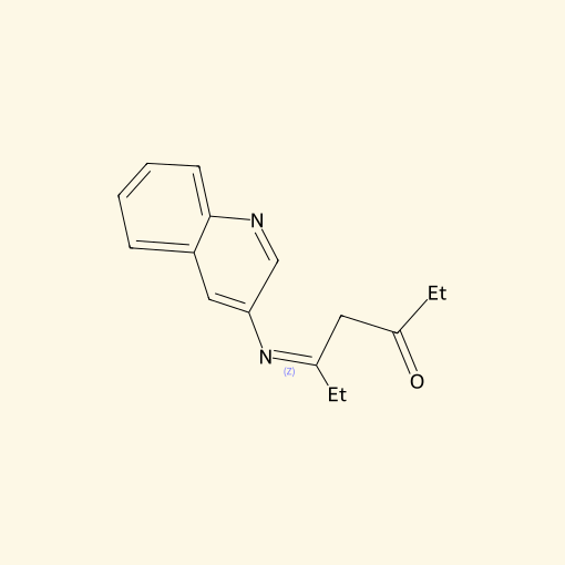 CCC(=O)C/C(CC)=N\c1cnc2ccccc2c1